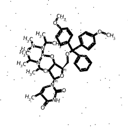 COc1ccc(C(OC[C@H]2O[C@@H](n3cc(C)c(=O)[nH]c3=O)CC2OP(N(C(C)C)C(C)C)N(C(C)C)N(C)C)(c2ccccc2)c2ccc(OC)cc2)cc1